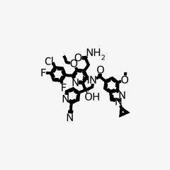 CCOc1c(CC(N)=O)cc([C@@](O)(CNC(=O)c2cc(OC)c3nn(C4CC4)cc3c2)c2ccnc(C#N)c2)nc1-c1cc(Cl)c(F)cc1F